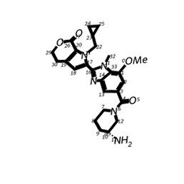 COc1cc(C(=O)N2CCC[C@@H](N)C2)cc2nc(-c3cc4c(n3CC3CC3)C(=O)OCC4)n(C)c12